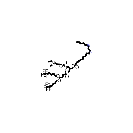 CCCCC/C=C\C/C=C\CCCCCCCC(=O)OCC(COC(=O)CCC(OCCCCC(F)(F)C(F)(F)F)OCCCCC(F)(F)C(F)(F)F)COC(=O)OCCCN(CC)CC